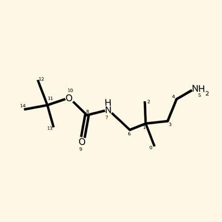 CC(C)(CCN)CNC(=O)OC(C)(C)C